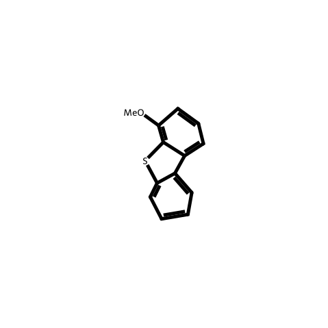 COc1cccc2c1sc1ccccc12